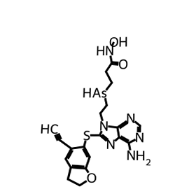 C#Cc1cc2c(cc1Sc1nc3c(N)ncnc3n1CC[AsH]CCC(=O)NO)OCC2